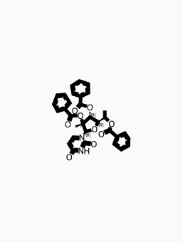 CC(OC(=O)c1ccccc1)[C@H]1O[C@@H](n2ccc(=O)[nH]c2=O)[C@](C)(OC(=O)c2ccccc2)[C@@H]1OC(=O)c1ccccc1